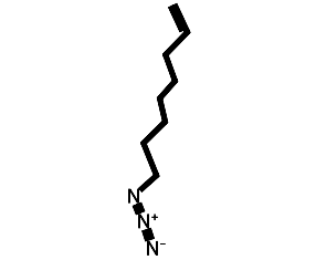 C=CCCCCCCN=[N+]=[N-]